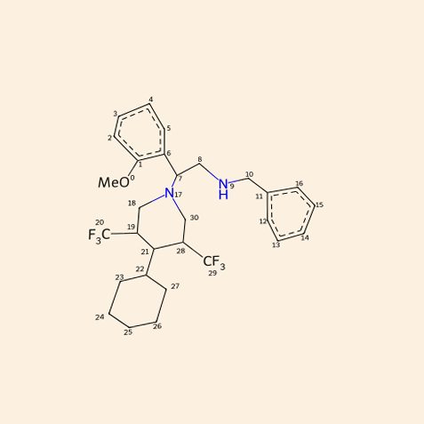 COc1ccccc1C(CNCc1ccccc1)N1CC(C(F)(F)F)C(C2CCCCC2)C(C(F)(F)F)C1